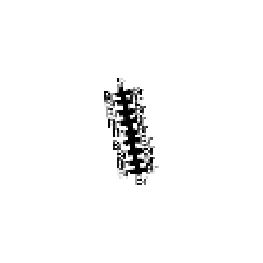 [S]C(Br)(Br)C(Br)(Br)C(Br)(Br)C(Br)(Br)C(Br)(Br)C(Br)(Br)C(Br)(Br)C(Br)(Br)C(Br)(Br)Br